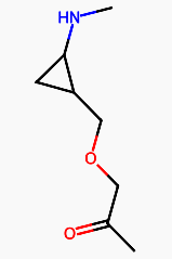 CNC1CC1COCC(C)=O